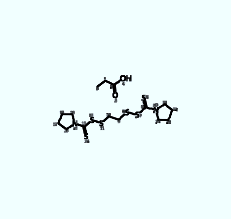 CCC(=O)O.S=C(SSCCSSC(=S)N1CCCC1)N1CCCC1